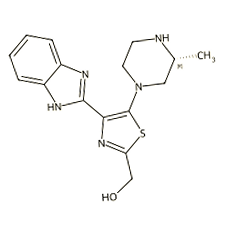 C[C@@H]1CN(c2sc(CO)nc2-c2nc3ccccc3[nH]2)CCN1